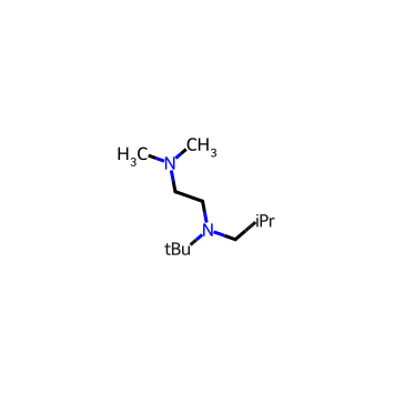 CC(C)CN(CCN(C)C)C(C)(C)C